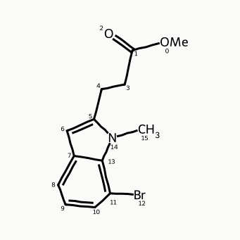 COC(=O)CCc1cc2cccc(Br)c2n1C